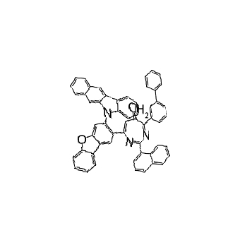 C=C1C=C(c2cc3c(cc2-n2c4ccccc4c4cc5ccccc5cc42)oc2ccccc23)N=C(c2cccc3ccccc23)N=C1c1cccc(-c2ccccc2)c1